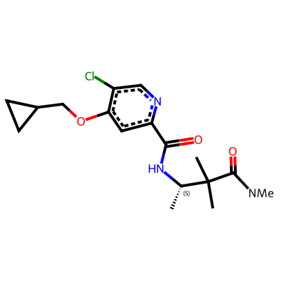 CNC(=O)C(C)(C)[C@H](C)NC(=O)c1cc(OCC2CC2)c(Cl)cn1